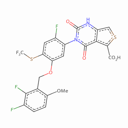 COc1ccc(F)c(F)c1COc1cc(-n2c(=O)[nH]c3csc(C(=O)O)c3c2=O)c(F)cc1SC(F)(F)F